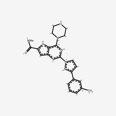 CNC(=O)c1cc2nc(-n3ccc(-c4cccc(C)c4)n3)nc(N3CCOCC3)c2o1